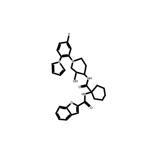 O=C(NC1(C(=O)NC2CCN(c3cc(F)ccc3-n3cccc3)CC2O)CCCCC1)c1cc2ccccc2o1